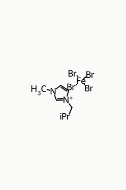 CC(C)C[n+]1ccn(C)c1.[Br][Fe]([Br])([Br])[Br]